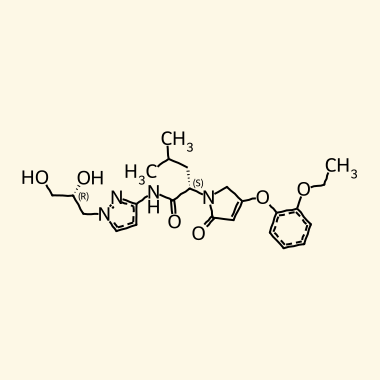 CCOc1ccccc1OC1=CC(=O)N([C@@H](CC(C)C)C(=O)Nc2ccn(C[C@@H](O)CO)n2)C1